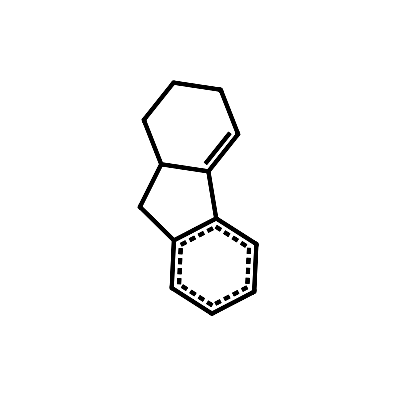 C1=C2c3ccccc3CC2CCC1